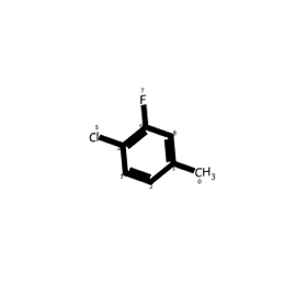 Cc1c[c]c(Cl)c(F)c1